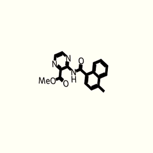 COC(=O)c1nccnc1NC(=O)c1ccc(C)c2ccccc12